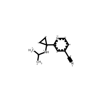 CC(C)NC1(c2cc(C#N)ccn2)CC1